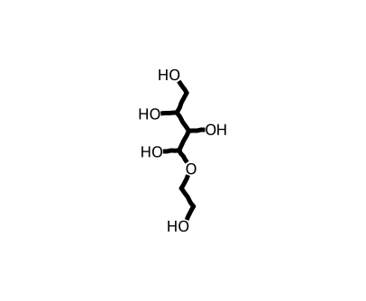 OCCOC(O)C(O)C(O)CO